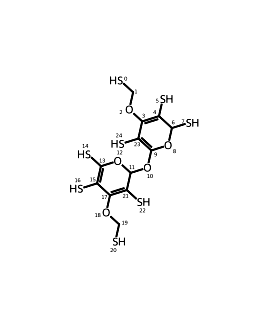 SCOC1=C(S)C(S)OC(OC2OC(S)=C(S)C(OCS)=C2S)=C1S